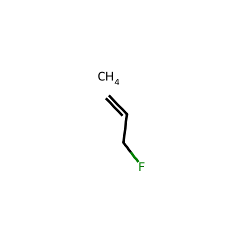 C.C=CCF